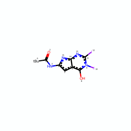 CC(C)(C)C(=O)Nc1cc2c(O)n(I)c(I)nc-2n1